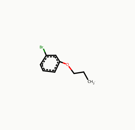 [CH2]CCOc1cccc(Br)c1